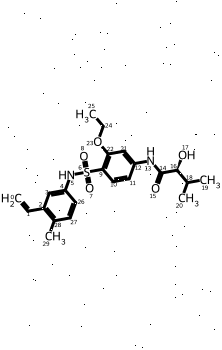 C=Cc1cc(NS(=O)(=O)c2ccc(NC(=O)[C@@H](O)C(C)C)cc2OCC)ccc1C